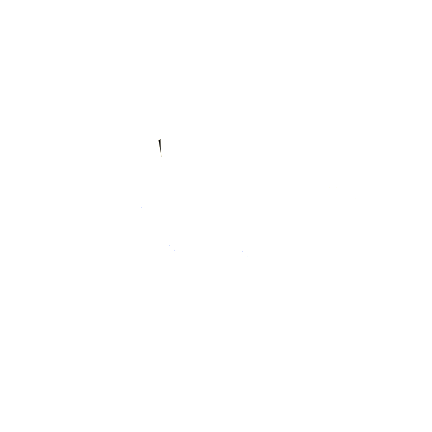 CC[C@H](C(=O)NCC(C(=O)NCCNc1ccc(OC)cc1)C1CCCCC1)c1ccccc1